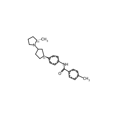 Cc1ccc(C(=O)Nc2ccc([C@H]3CCC(N4CCC[C@@H]4C)C3)cc2)cc1